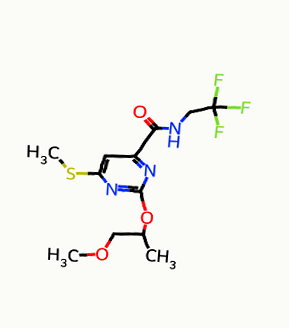 COCC(C)Oc1nc(SC)cc(C(=O)NCC(F)(F)F)n1